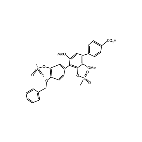 COc1cc(-c2ccc(C(=O)O)cc2)c(OC)c(OS(C)(=O)=O)c1-c1ccc(OCc2ccccc2)c(OS(C)(=O)=O)c1